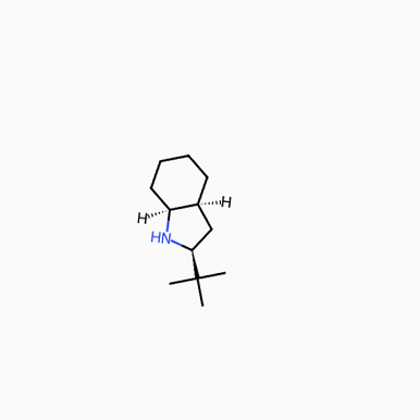 CC(C)(C)[C@@H]1C[C@@H]2CCCC[C@@H]2N1